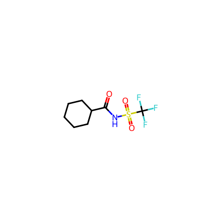 O=C(NS(=O)(=O)C(F)(F)F)C1CCCCC1